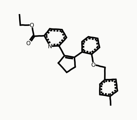 CCOC(=O)c1cccc(C2=C(c3ccccc3OCc3ccc(C)cc3)CCC2)n1